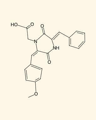 COc1ccc(C=c2c(=O)[nH]c(=Cc3ccccc3)c(=O)n2CC(=O)O)cc1